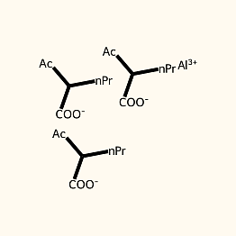 CCCC(C(C)=O)C(=O)[O-].CCCC(C(C)=O)C(=O)[O-].CCCC(C(C)=O)C(=O)[O-].[Al+3]